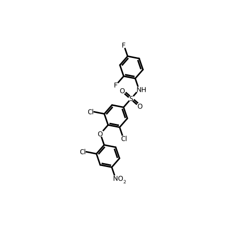 O=[N+]([O-])c1ccc(Oc2c(Cl)cc(S(=O)(=O)Nc3ccc(F)cc3F)cc2Cl)c(Cl)c1